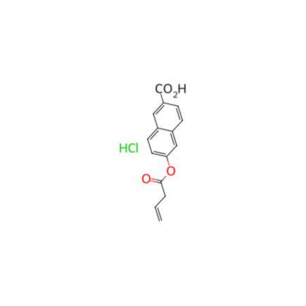 C=CCC(=O)Oc1ccc2cc(C(=O)O)ccc2c1.Cl